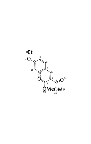 CCOc1ccc(C=C(C(=O)OC)C(=O)OC)cc1